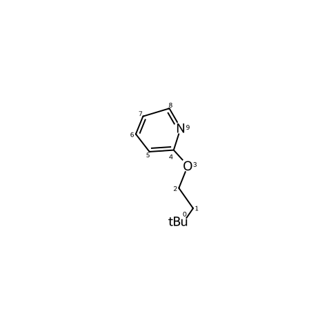 CC(C)(C)CCOc1ccccn1